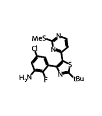 CSc1nccc(-c2sc(C(C)(C)C)nc2-c2cc(Cl)cc(N)c2F)n1